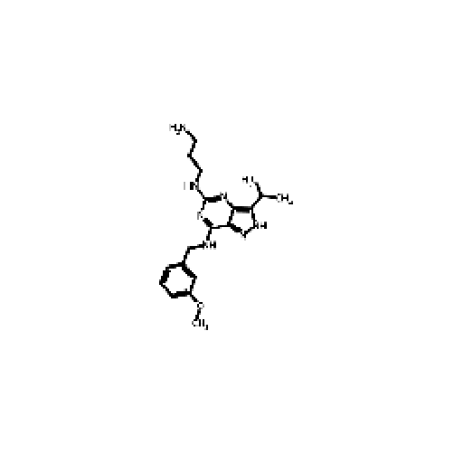 COc1cccc(CNc2nc(NCCCN)nc3c(C(C)C)[nH]nc23)c1